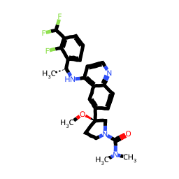 CO[C@]1(c2ccc3nccc(N[C@H](C)c4cccc(C(F)F)c4F)c3c2)CCN(C(=O)N(C)C)C1